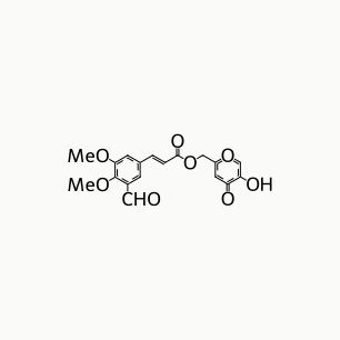 COc1cc(/C=C/C(=O)OCc2cc(=O)c(O)co2)cc(C=O)c1OC